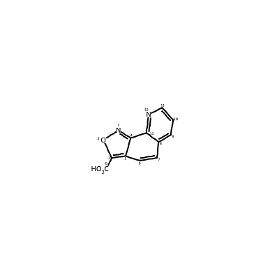 O=C(O)c1onc2c1ccc1cccnc12